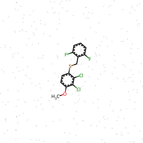 COc1ccc(SCc2c(F)cccc2F)c(Cl)c1Cl